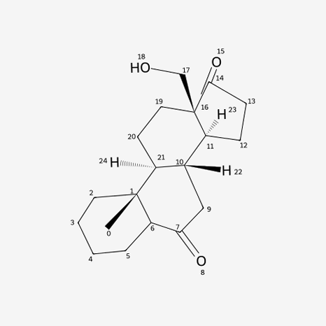 C[C@]12CCCCC1C(=O)C[C@H]1[C@@H]3CCC(=O)[C@@]3(CO)CC[C@@H]12